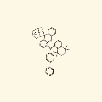 CC1(C)CCC(C)(C)c2c(N(c3ccc(-c4ccccc4)cc3)c3cccc4c3Sc3ccccc3C43C4CC5CC6CC3C64C5)cccc21